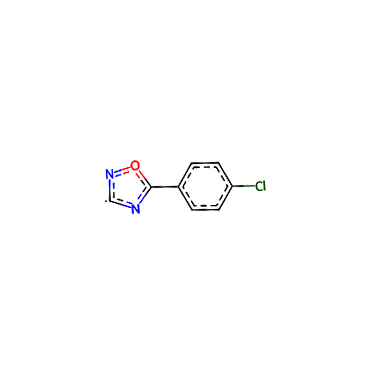 Clc1ccc(-c2n[c]no2)cc1